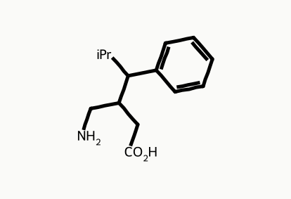 CC(C)C(c1ccccc1)C(CN)CC(=O)O